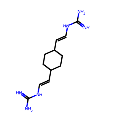 N=C(N)NC=CC1CCC(C=CNC(=N)N)CC1